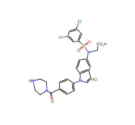 Cl.O=C(O)CN(c1ccc2c(ccn2-c2ccc(C(=O)N3CCNCC3)cc2)c1)S(=O)(=O)c1cc(Cl)cc(Cl)c1